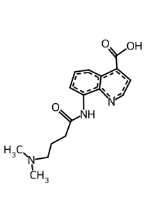 CN(C)CCCC(=O)Nc1cccc2c(C(=O)O)ccnc12